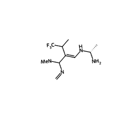 C=NC(NC)/C(=C/N[C@H](C)N)C(C)C(F)(F)F